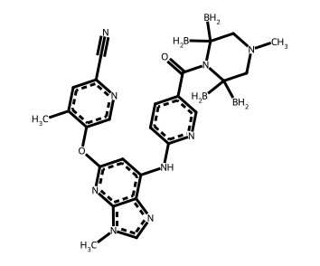 BC1(B)CN(C)CC(B)(B)N1C(=O)c1ccc(Nc2cc(Oc3cnc(C#N)cc3C)nc3c2ncn3C)nc1